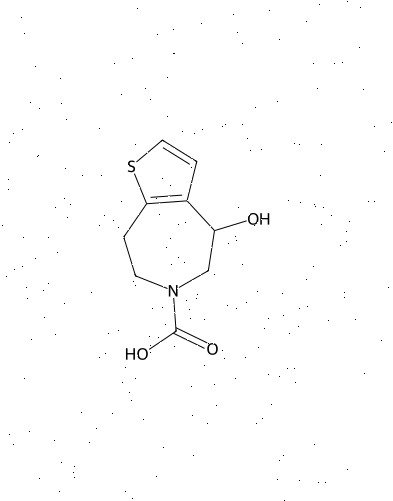 O=C(O)N1CCc2sccc2C(O)C1